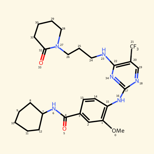 COc1cc(C(=O)NC2CCCCC2)ccc1Nc1ncc(C(F)(F)F)c(NCCCN2CCCCC2=O)n1